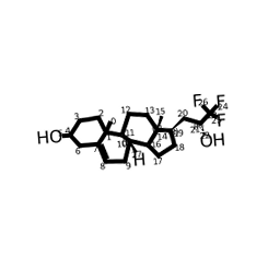 CC12CCC(O)CC1=CC[C@@H]1C2CC[C@@]2(C)C1CC[C@@H]2C[C@@H](O)C(F)(F)F